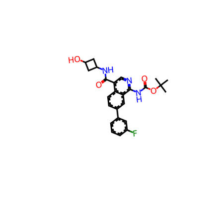 CC(C)(C)OC(=O)Nc1ncc(C(=O)NC2CC(O)C2)c2ccc(-c3cccc(F)c3)cc12